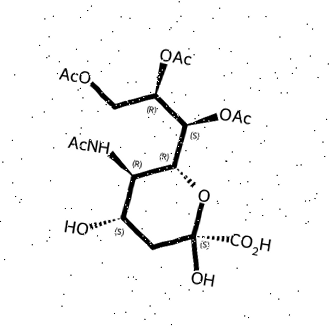 CC(=O)N[C@H]1[C@H]([C@H](OC(C)=O)[C@@H](COC(C)=O)OC(C)=O)O[C@](O)(C(=O)O)C[C@@H]1O